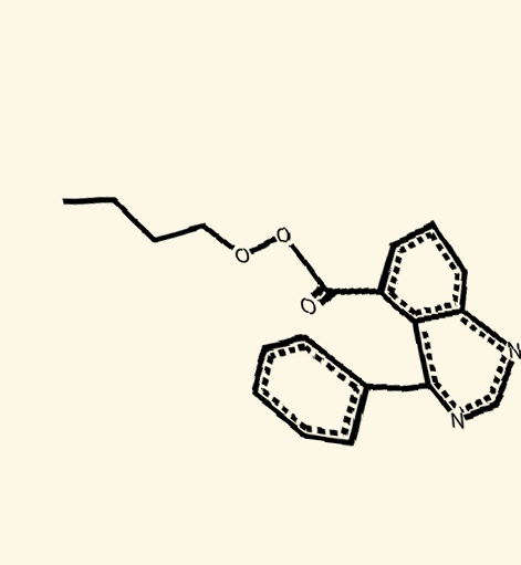 CCCCOOC(=O)c1cccc2ncnc(-c3ccccc3)c12